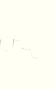 CCCCC1(OC(=O)CCS)CCCCC1